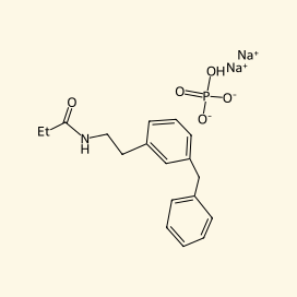 CCC(=O)NCCc1cccc(Cc2ccccc2)c1.O=P([O-])([O-])O.[Na+].[Na+]